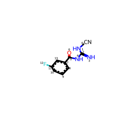 N#CNC(=N)NC(=O)c1cccc(F)c1